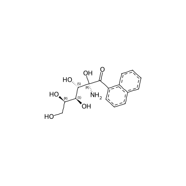 N[C@](O)(C(=O)c1cccc2ccccc12)[C@@H](O)[C@@H](O)[C@H](O)CO